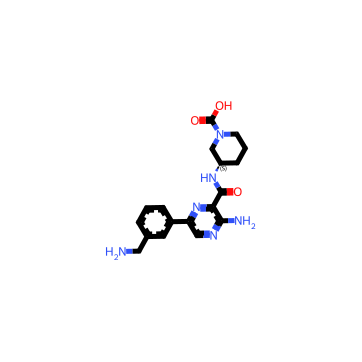 NCc1cccc(-c2cnc(N)c(C(=O)N[C@H]3CCCN(C(=O)O)C3)n2)c1